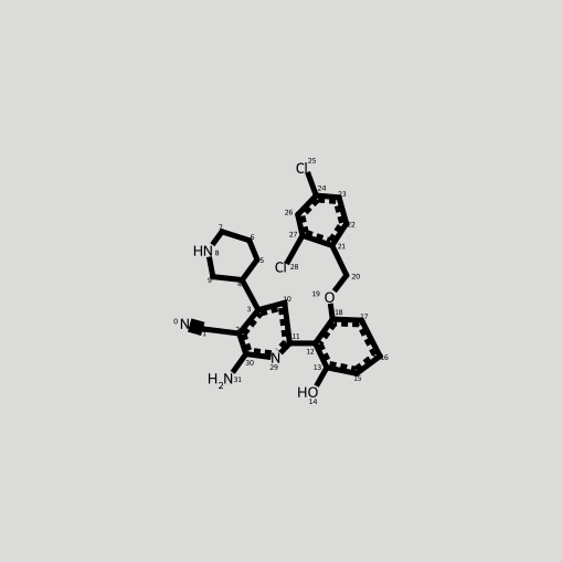 N#Cc1c(C2CCCNC2)cc(-c2c(O)cccc2OCc2ccc(Cl)cc2Cl)nc1N